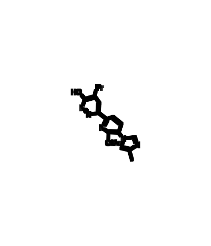 COc1nc(-c2cc(C(C)C)c(O)nn2)ccc1-n1cnc(C)c1